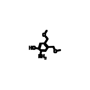 COCc1cc(N)c(O)cc1COC